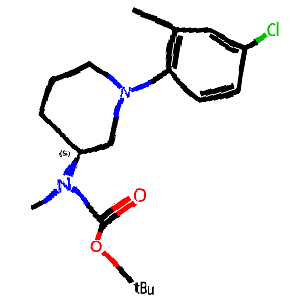 Cc1cc(Cl)ccc1N1CCC[C@H](N(C)C(=O)OC(C)(C)C)C1